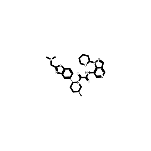 C[C@H]1CC[C@H](c2ccc3sc(CN(C)C)nc3c2)N(C(=O)C(=O)Nc2cncc3cnn(C4CCCCO4)c23)C1